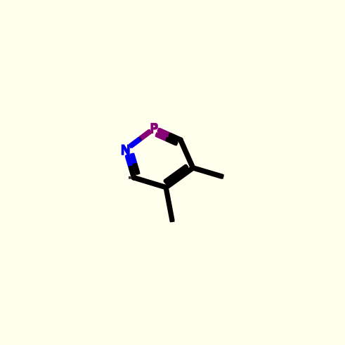 Cc1[c]npcc1C